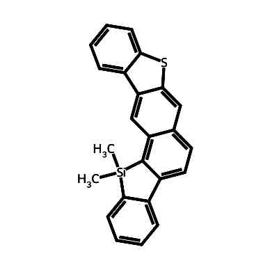 C[Si]1(C)c2ccccc2-c2ccc3cc4sc5ccccc5c4cc3c21